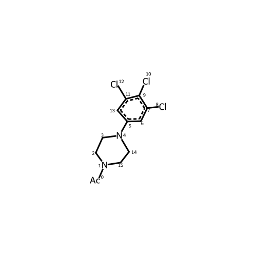 CC(=O)N1CCN(c2cc(Cl)c(Cl)c(Cl)c2)CC1